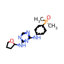 CP(C)(=O)c1ccc(Nc2ncnc(NC3CCCO3)n2)cc1